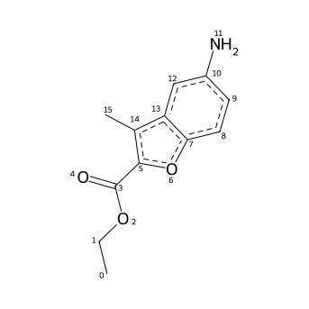 CCOC(=O)c1oc2ccc(N)cc2c1C